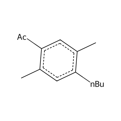 CCCCc1cc(C)c(C(C)=O)cc1C